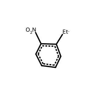 C[CH]c1ccccc1[N+](=O)[O-]